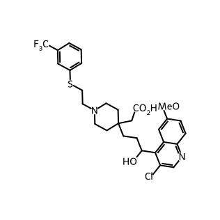 COc1ccc2ncc(Cl)c(C(O)CCC3(CC(=O)O)CCN(CCSc4cccc(C(F)(F)F)c4)CC3)c2c1